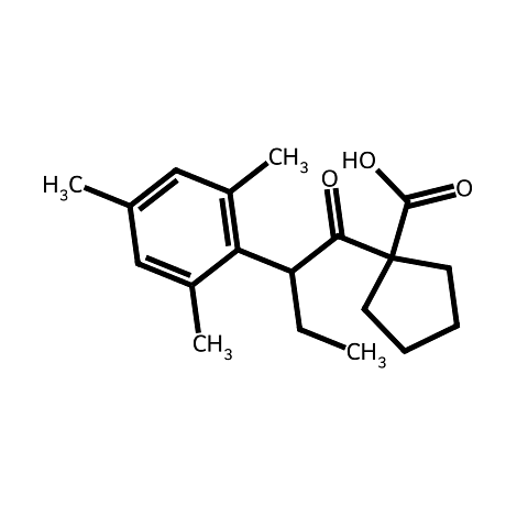 CCC(C(=O)C1(C(=O)O)CCCC1)c1c(C)cc(C)cc1C